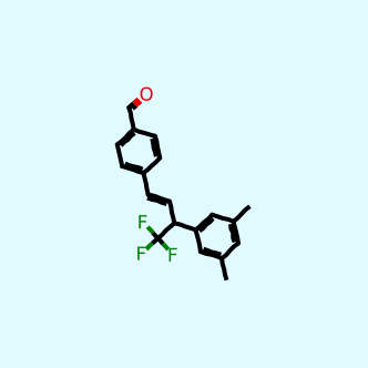 Cc1cc(C)cc(C(/C=C/c2ccc(C=O)cc2)C(F)(F)F)c1